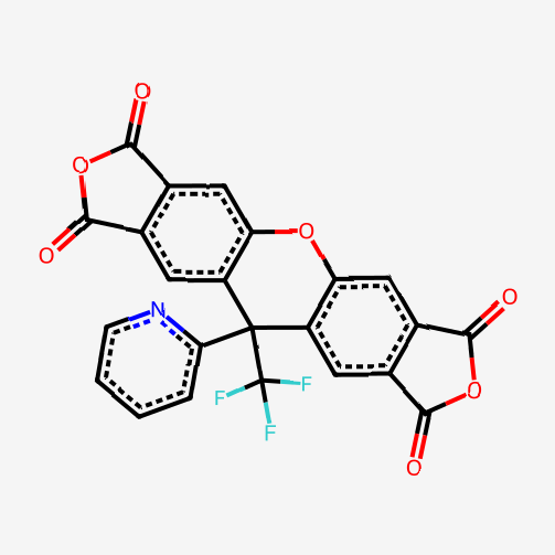 O=C1OC(=O)c2cc3c(cc21)Oc1cc2c(cc1C3(c1ccccn1)C(F)(F)F)C(=O)OC2=O